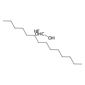 CCCCCCCCCCCCCC.F.O=CO